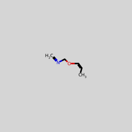 C=NCO/C=C\C